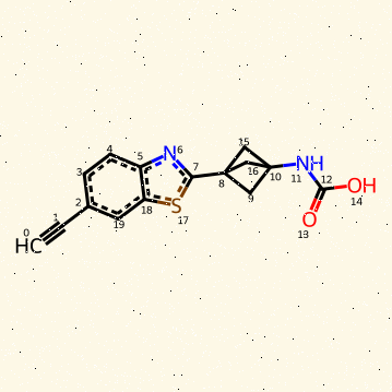 C#Cc1ccc2nc(C34CC(NC(=O)O)(C3)C4)sc2c1